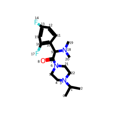 CC(C)N1CCN(C(=O)C(c2ccc(F)cc2F)N(C)C)CC1